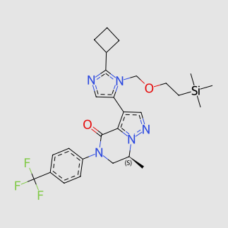 C[C@H]1CN(c2ccc(C(F)(F)F)cc2)C(=O)c2c(-c3cnc(C4CCC4)n3COCC[Si](C)(C)C)cnn21